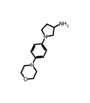 NC1CCN(c2ccc(N3CCOCC3)cc2)C1